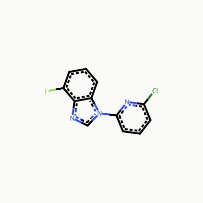 Fc1cccc2c1ncn2-c1cccc(Cl)n1